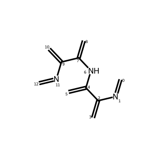 C=NC(=C)C(=C)NC(=C)C(=C)N=C